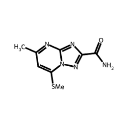 [CH2]Sc1cc(C)nc2nc(C(N)=O)nn12